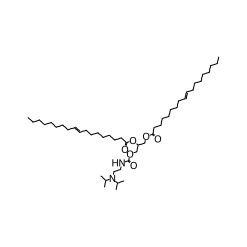 CCCCCCCCC=CCCCCCCCC(=O)OCC(COC(=O)NCCN(C(C)C)C(C)C)OC(=O)CCCCCCCC=CCCCCCCCC